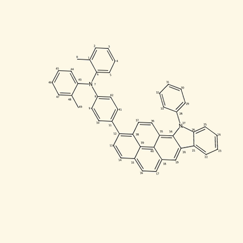 Cc1ccccc1N(c1ccc(-c2ccc3ccc4cc5c6ccccc6n(-c6ccccc6)c5c5ccc2c3c45)cc1)c1ccccc1C